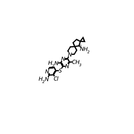 Cc1nc(Sc2ccnc(N)c2Cl)c(N)nc1N1CCC2(CC1)CCC1(CC1)[C@H]2N